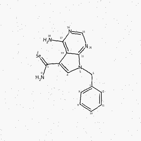 NC(=[Se])c1cn(Cc2ccccc2)c2ncnc(N)c12